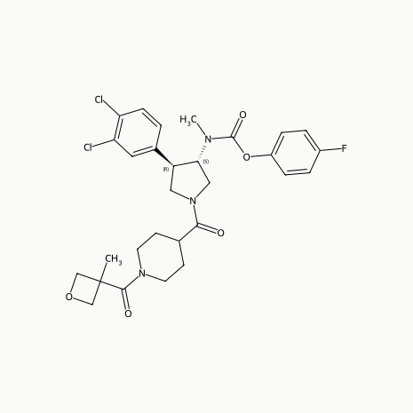 CN(C(=O)Oc1ccc(F)cc1)[C@@H]1CN(C(=O)C2CCN(C(=O)C3(C)COC3)CC2)C[C@H]1c1ccc(Cl)c(Cl)c1